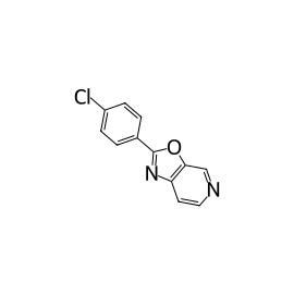 Clc1ccc(-c2nc3ccncc3o2)cc1